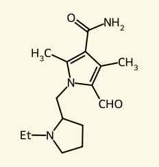 CCN1CCCC1Cn1c(C)c(C(N)=O)c(C)c1C=O